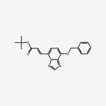 CC(C)(C)OC(=O)/C=C/c1ccc(OCc2ccccc2)c2ncnn12